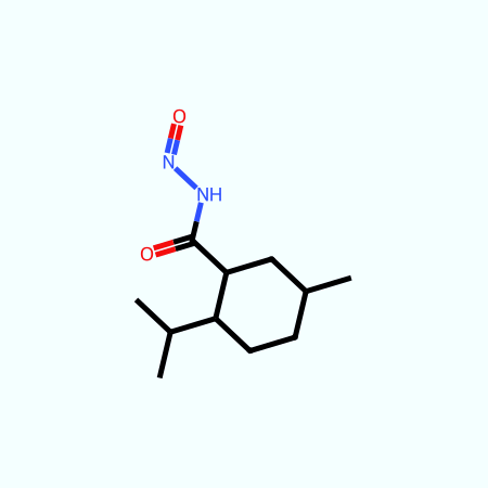 CC1CCC(C(C)C)C(C(=O)NN=O)C1